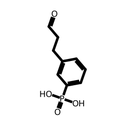 O=CCCc1cccc(P(=O)(O)O)c1